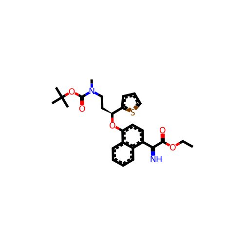 CCOC(=O)C(=N)c1ccc(O[C@@H](CCN(C)C(=O)OC(C)(C)C)c2cccs2)c2ccccc12